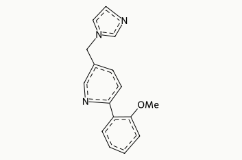 COc1ccccc1-c1ccc(Cn2ccnc2)cn1